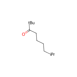 CC(C)CCCCC(=O)C(C)(C)C